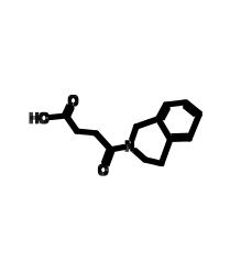 O=C(O)CCC(=O)N1CCc2ccccc2C1